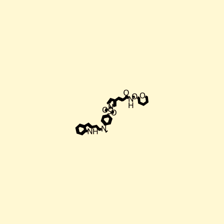 CN(CCc1cc2ccccc2[nH]1)c1ccc(S(=O)(=O)n2ccc(C=CC(=O)NOC3CCCCO3)c2)cc1